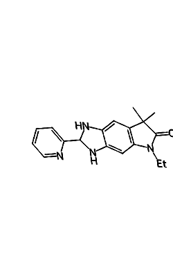 CCN1C(=O)C(C)(C)c2cc3c(cc21)NC(c1ccccn1)N3